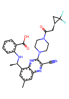 Cc1cc([C@@H](C)Nc2ccccc2C(=O)O)c2nc(N3CCN(C(=O)C[C@H]4CC4(F)F)CC3)c(C#N)nc2c1